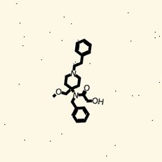 COCC1(N(Cc2ccccc2)C(=O)CO)CCN(CCc2ccccc2)CC1